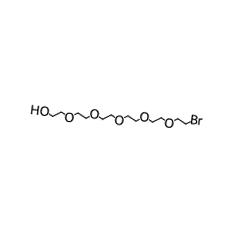 OCCOCCOCCOCCOCCOCCBr